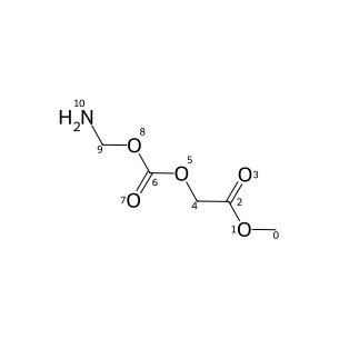 COC(=O)COC(=O)OCN